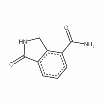 NC(=O)c1cccc2c1CNC2=O